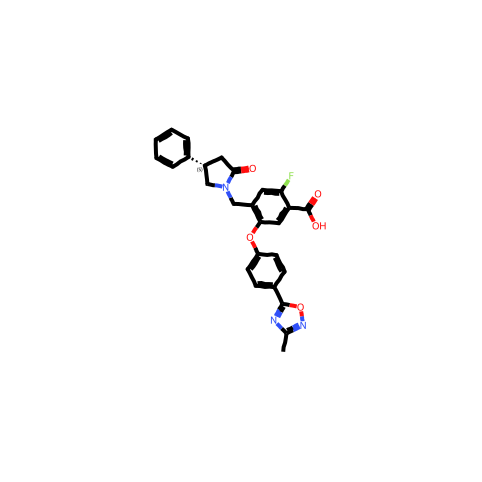 Cc1noc(-c2ccc(Oc3cc(C(=O)O)c(F)cc3CN3C[C@H](c4ccccc4)CC3=O)cc2)n1